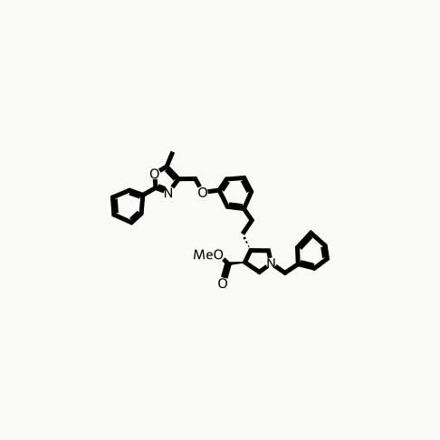 COC(=O)[C@@H]1CN(Cc2ccccc2)C[C@H]1CCc1cccc(OCc2nc(-c3ccccc3)oc2C)c1